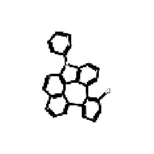 Clc1cccc2c1-c1cccc3c1c1c4c-2cccc4ccc1n3-c1ccccc1